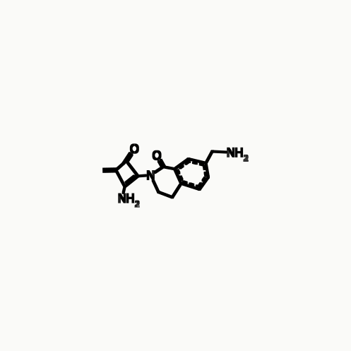 C=C1C(=O)C(N2CCc3ccc(CN)cc3C2=O)=C1N